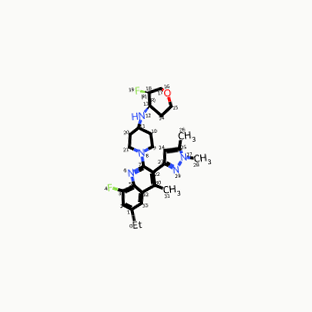 CCc1cc(F)c2nc(N3CCC(N[C@@H]4CCOC[C@@H]4F)CC3)c(-c3cc(C)n(C)n3)c(C)c2c1